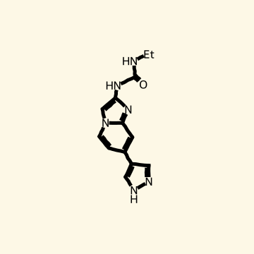 CCNC(=O)Nc1cn2ccc(-c3cn[nH]c3)cc2n1